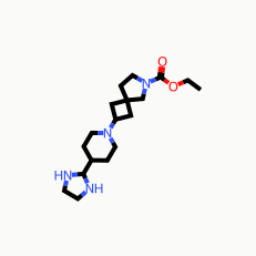 CCOC(=O)N1CCC2(CC(N3CCC(C4NCCN4)CC3)C2)C1